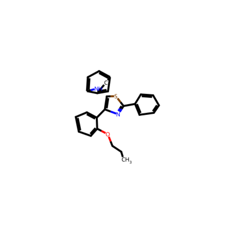 CCCOc1ccccc1-c1csc(-c2ccccc2)n1.c1cc2ccc1CCN2